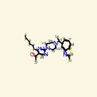 CCCCCCc1nc(N2CCN(C(C)C3C=CC=c4sc(C)nc4=C3)CC2)ncc1C(C)=O